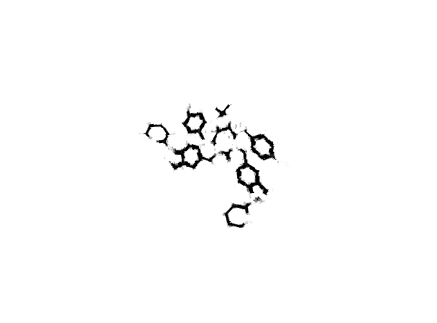 CC1(C)O[C@@H]2[C@@H](O1)[C@@H](Cc1ccc(O)cc1)N(Cc1ccc3c(cnn3C3CCCCO3)c1)C(=O)N(Cc1ccc3c(cnn3C3CCCCO3)c1)[C@@H]2Cc1ccc(O)cc1